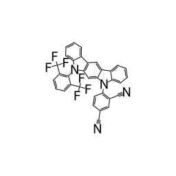 N#Cc1ccc(-n2c3ccccc3c3cc4c5ccccc5n(-c5c(C(F)(F)F)cccc5C(F)(F)F)c4cc32)c(C#N)c1